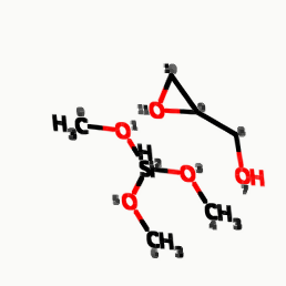 CO[SiH](OC)OC.OCC1CO1